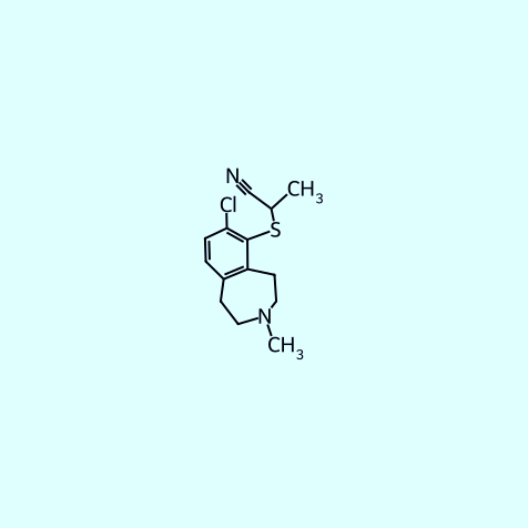 CC(C#N)Sc1c(Cl)ccc2c1CCN(C)CC2